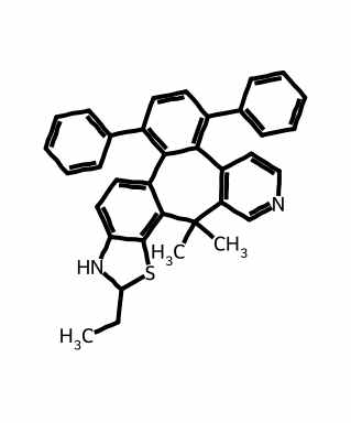 CCC1Nc2ccc3c(c2S1)C(C)(C)c1cnccc1-c1c(-c2ccccc2)ccc(-c2ccccc2)c1-3